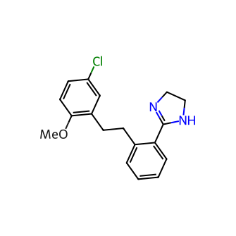 COc1ccc(Cl)cc1CCc1ccccc1C1=NCCN1